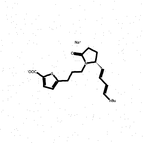 CCCC/C=C/C=C/[C@H]1CCC(=O)N1CCCc1ccc(C(=O)[O-])s1.[Na+]